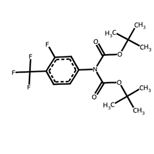 CC(C)(C)OC(=O)N(C(=O)OC(C)(C)C)c1ccc(C(F)(F)F)c(F)c1